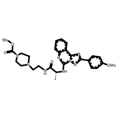 COc1ccc(-c2nc3c4ccccc4nc(N[C@H](C)C(=O)NCCN4CCN(C(=O)OC(C)(C)C)CC4)n3n2)cc1